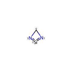 C1N=[Si]=N1